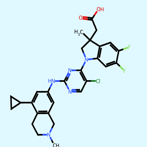 CN1CCc2c(cc(Nc3ncc(Cl)c(N4CC(C)(CC(=O)O)c5cc(F)c(F)cc54)n3)cc2C2CC2)C1